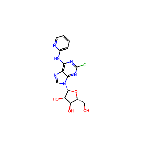 OC[C@H]1O[C@@H](n2cnc3c(Nc4ccccn4)nc(Cl)nc32)[C@H](O)[C@@H]1O